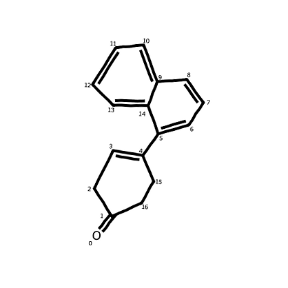 O=C1CC=C(c2cccc3ccccc23)CC1